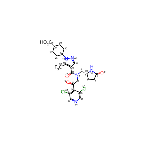 O=C1CC[C@H](CN(CC(=O)c2c(Cl)cncc2Cl)C(=O)c2cnn([C@H]3CC[C@H](C(=O)O)CC3)c2C(F)(F)F)N1